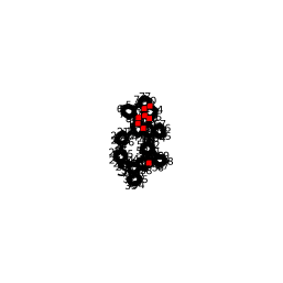 c1ccc(-c2ccccc2N(c2ccccc2)c2cc(-c3cccc(-c4ccc5sc6c7ccccc7c7ccccc7c6c5c4)c3)cc(N(c3ccc4oc5ccccc5c4c3)c3ccccc3-c3ccccc3)c2)cc1